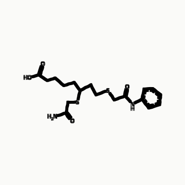 NC(=O)CSC(CCCCC(=O)O)CCSCC(=O)Nc1ccccc1